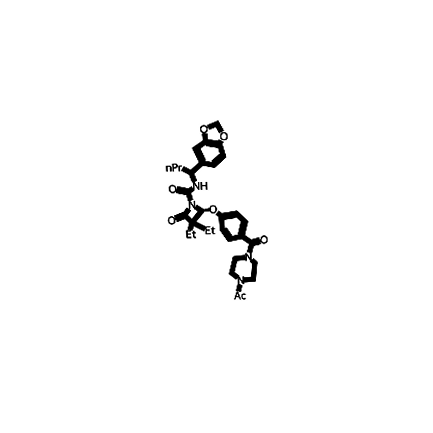 CCCC(NC(=O)N1C(=O)C(CC)(CC)[C@@H]1Oc1ccc(C(=O)N2CCN(C(C)=O)CC2)cc1)c1ccc2c(c1)OCO2